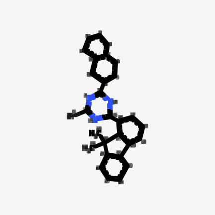 CC(C)c1nc(-c2ccc3ccccc3c2)nc(-c2cccc3c2C(C)(C)c2ccccc2-3)n1